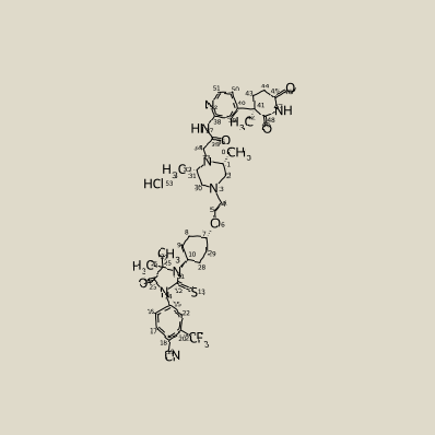 C[C@@H]1CN(CCO[C@H]2CC[C@H](N3C(=S)N(c4ccc(C#N)c(C(F)(F)F)c4)C(=O)C3(C)C)CC2)C[C@H](C)N1CC(=O)Nc1cc([C@@]2(C)CCC(=O)NC2=O)ccn1.Cl